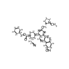 CN1CCC[C@H]1COc1nc(N2CCN(C(=O)OCc3ccccc3)[C@@H](CC#N)C2)c2cnc(-c3cc(O)ccc3F)c(F)c2n1